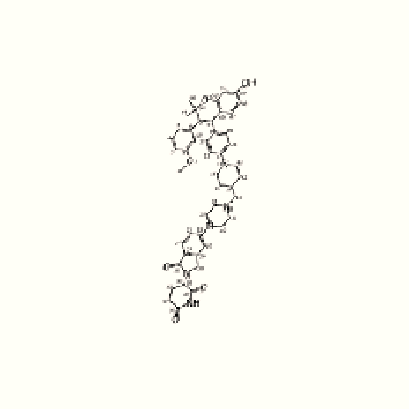 COc1cccc(C2C(c3ccc(N4CCC(CN5CCN(c6ccc7c(c6)CN([C@H]6CCC(=O)NC6=O)C7=O)CC5)CC4)cc3)c3ccc(O)cc3OC2(C)C)c1